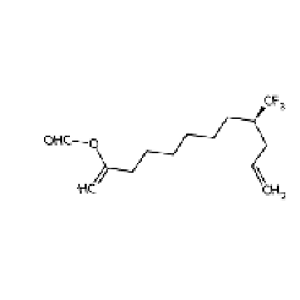 [CH]=C(CCCCCC[C@H](CC=C)C(F)(F)F)OC=O